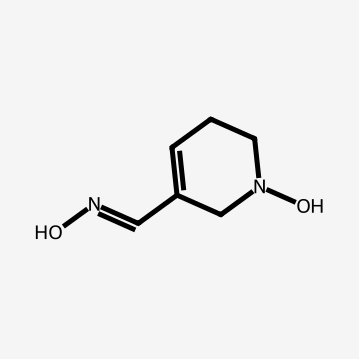 ON=CC1=CCCN(O)C1